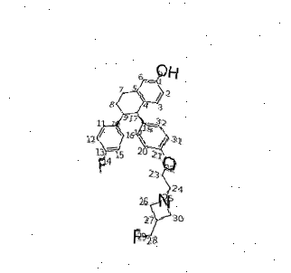 Oc1ccc2c(c1)CC[C@H](c1ccc(F)cc1)[C@@H]2c1ccc(OCCN2CC(CF)C2)cc1